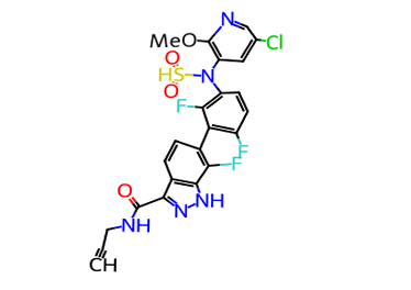 C#CCNC(=O)c1n[nH]c2c(F)c(-c3c(F)ccc(N(c4cc(Cl)cnc4OC)[SH](=O)=O)c3F)ccc12